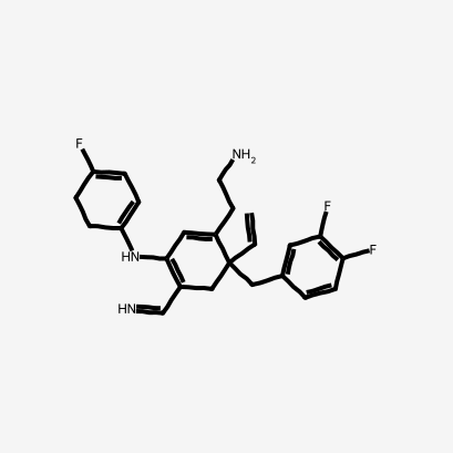 C=CC1(Cc2ccc(F)c(F)c2)CC(C=N)=C(NC2=CC=C(F)CC2)C=C1CCN